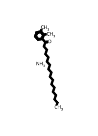 CCCCCCCCCCCCCCCCCC(=O)c1cccc(C)c1C.N